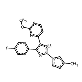 COc1nccc(-c2[nH]c(-c3cc(C)cs3)nc2-c2ccc(F)cc2)n1